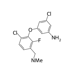 CNCc1ccc(Cl)c(Oc2cc(N)cc(Cl)c2)c1F